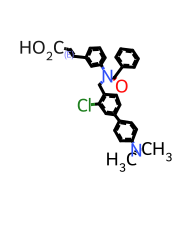 CN(C)c1ccc(-c2ccc(CN(C(=O)c3ccccc3)c3cccc(/C=C/C(=O)O)c3)c(Cl)c2)cc1